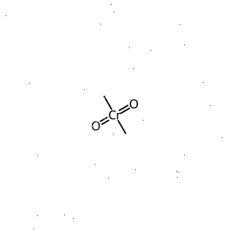 [CH3][Cr]([CH3])(=[O])=[O]